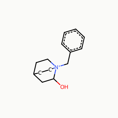 OC1CC2CC[N+]1(Cc1ccccc1)CC2